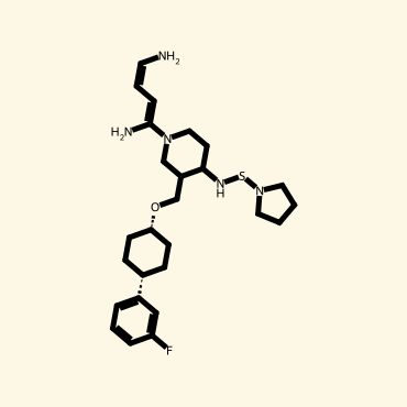 N/C=C\C=C(/N)N1CCC(NSN2CCCC2)C(CO[C@H]2CC[C@@H](c3cccc(F)c3)CC2)C1